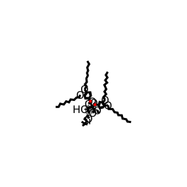 CCCCCCCCCCOc1ccc(C(=O)O[C@H]2[C@H](O)[C@@H](CO[Si](C)(C)C(C)(C)C)O[C@H](OC)[C@@H]2C(=O)c2ccc(OCCCCCCCCCC)c(OCCCCCCCCCC)c2)cc1OCCCCCCCCCC